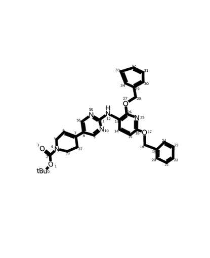 CC(C)(C)OC(=O)N1CC=C(c2cnc(Nc3ccc(OCc4ccccc4)nc3OCc3ccccc3)nc2)CC1